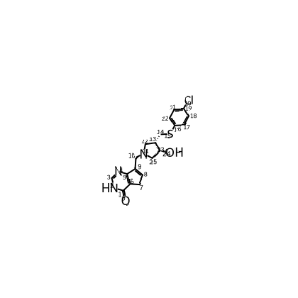 O=c1[nH]cnc2c1CC=C2CN1C[C@H](CSc2ccc(Cl)cc2)[C@@H](O)C1